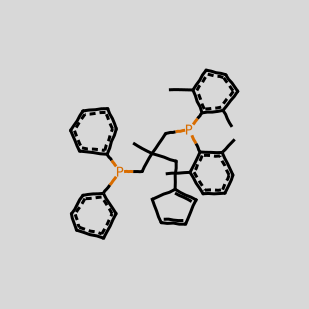 Cc1cccc(C)c1P(CC(C)(CC1=CC=CC1)CP(c1ccccc1)c1ccccc1)c1c(C)cccc1C